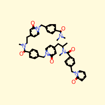 CC(Cc1ccn(Cc2ccc(C(=O)N(C)CCc3ccn(Cc4ccc(C(=O)N(C)C)cc4)c(=O)c3)cc2)c(=O)c1)N(C)C(=O)c1ccc(Cn2ccccc2=O)cc1